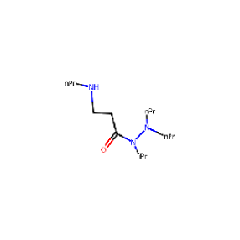 CCCNCCC(=O)N(C(C)C)N(CCC)CCC